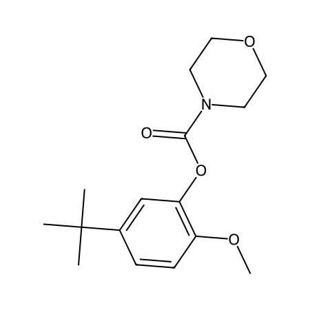 COc1ccc(C(C)(C)C)cc1OC(=O)N1CCOCC1